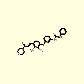 O=C(Nc1ccccc1)Nc1cccc(Sc2ccc(/C=C/C(=O)N3CCOCC3)c(C(F)(F)F)c2C(F)(F)F)c1